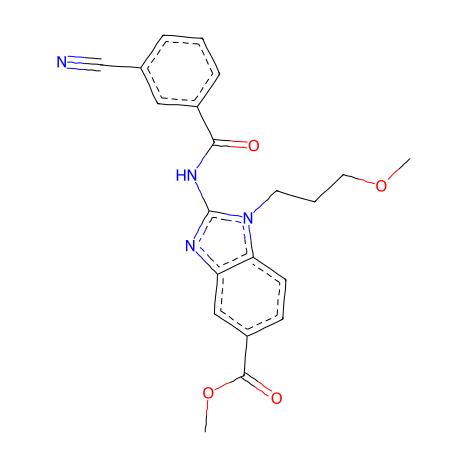 COCCCn1c(NC(=O)c2cccc(C#N)c2)nc2cc(C(=O)OC)ccc21